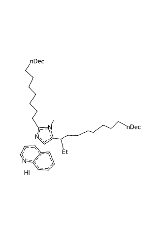 CCCCCCCCCCCCCCCCCc1ncc(C(CC)CCCCCCCCCCCCCCCCC)n1C.I.c1ccc2ncccc2c1